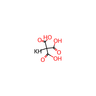 CC(C(=O)O)(C(=O)O)C(=O)O.[KH]